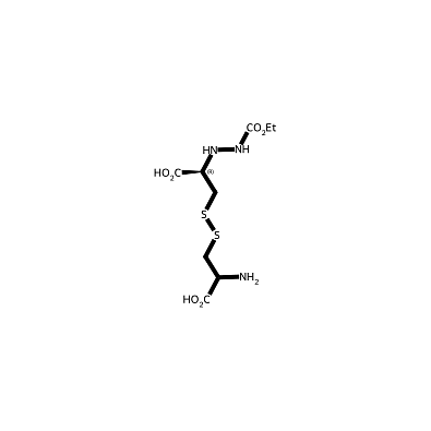 CCOC(=O)NN[C@@H](CSSCC(N)C(=O)O)C(=O)O